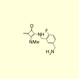 C=C1C(=O)C(NCc2cc(CN)ccc2F)=C1NC